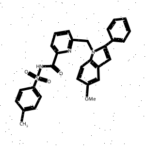 COc1ccc2c(c1)cc(-c1ccccc1)n2Cc1cccc(C(=O)NS(=O)(=O)c2ccc(C)cc2)n1